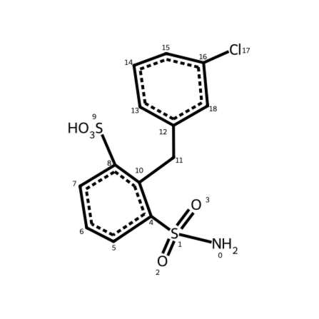 NS(=O)(=O)c1cccc(S(=O)(=O)O)c1Cc1cccc(Cl)c1